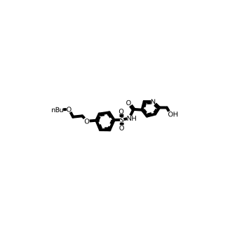 CCCCOCCOc1ccc(S(=O)(=O)NC(=O)c2ccc(CO)nc2)cc1